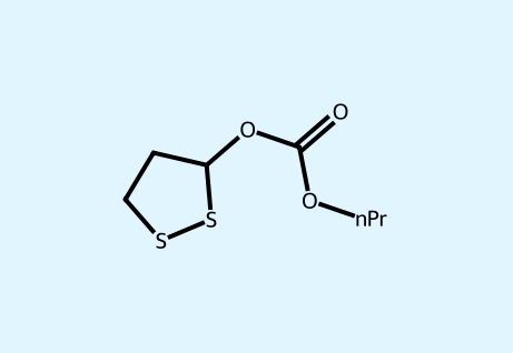 CCCOC(=O)OC1CCSS1